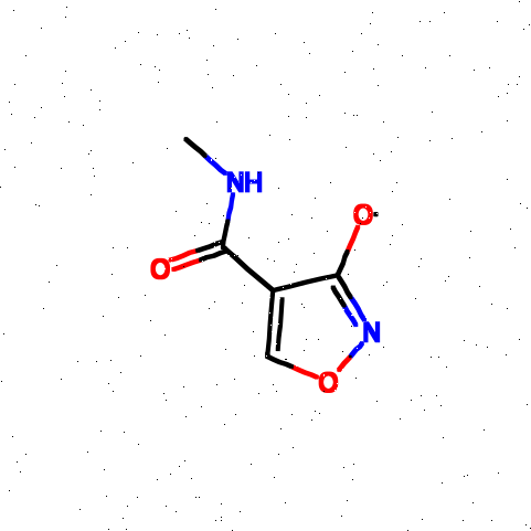 CNC(=O)c1conc1[O]